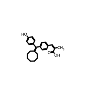 CC(=Cc1ccc(C(=C2CCCCCCC2)c2ccc(O)cc2)cc1)C(=O)O